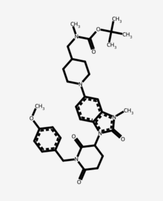 COc1ccc(CN2C(=O)CCC(n3c(=O)n(C)c4cc(N5CCC(CN(C)C(=O)OC(C)(C)C)CC5)ccc43)C2=O)cc1